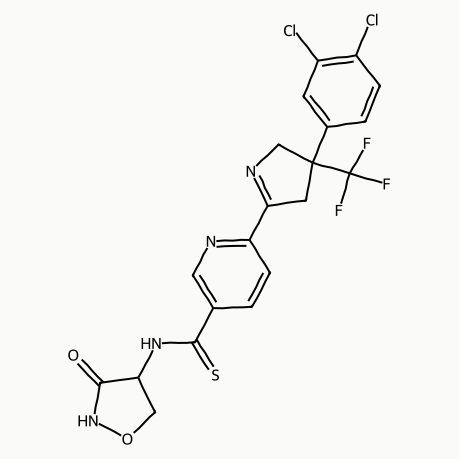 O=C1NOCC1NC(=S)c1ccc(C2=NCC(c3ccc(Cl)c(Cl)c3)(C(F)(F)F)C2)nc1